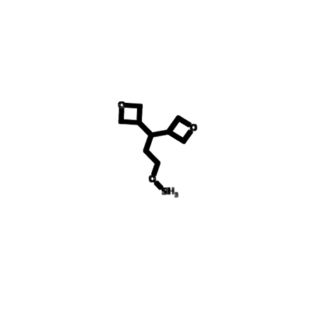 [SiH3]OCCC(C1COC1)C1COC1